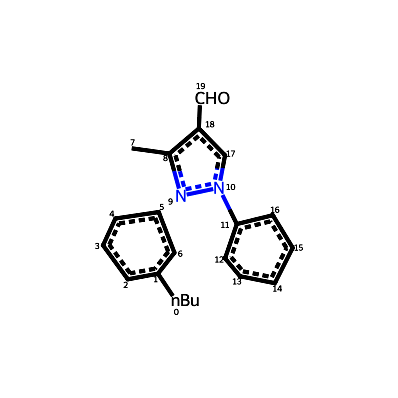 CCCCc1ccccc1.Cc1nn(-c2ccccc2)cc1C=O